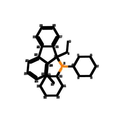 CCC1(P(C2CCCCC2)C2CCCCC2)c2ccccc2-c2cccc(C)c21